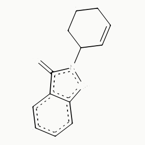 O=c1c2ccccc2[se]n1C1C=CCCC1